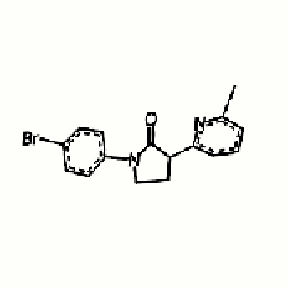 Cc1cccc(C2CCN(c3ccc(Br)cc3)C2=O)n1